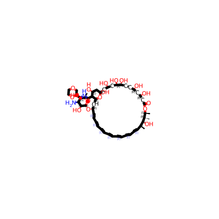 C[C@@H]1[C@H](O)[C@@H](C)/C=C/C=C/C=C/C=C/C=C/C=C/C=C/[C@H](O[C@@H]2O[C@H](C)[C@@H](O)[C@H](N)[C@@H]2O)C[C@@H]2O[C@](O)(C[C@@H](O)C[C@@H](O)[C@H](O)CC[C@@H](O)C[C@@H](O)CC(=O)O[C@H]1C)C[C@H](O)C2C(=O)NCC1COCCO1